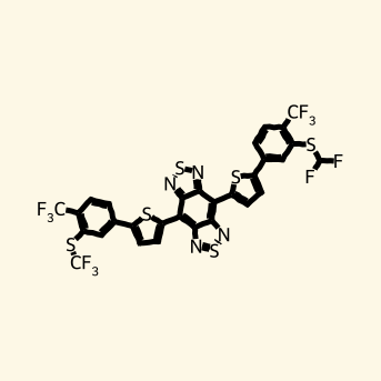 FC(F)Sc1cc(-c2ccc(-c3c4c(c(-c5ccc(-c6ccc(C(F)(F)F)c(SC(F)(F)F)c6)s5)c5nsnc35)N=S=N4)s2)ccc1C(F)(F)F